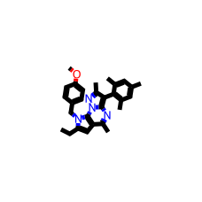 CCc1cc2c(C)nc3c(-c4c(C)cc(C)cc4C)c(C)nn3c2n1Cc1ccc(OC)cc1